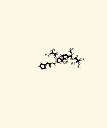 CCOC(C)(C)C(=O)N/C(=N/C=N)c1ccc([C@]2(C#N)O[C@H](COC(=O)CC3CCCC3)[C@@H](OC(=O)[C@@H](N)C(C)C)[C@H]2O)[nH]1